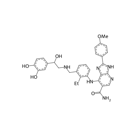 CCc1c(CNCC(O)c2ccc(O)c(O)c2)cccc1Nc1c(C(N)=O)cnc2[nH]c(-c3ccc(OC)cc3)nc12